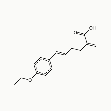 C=C(CCC=Cc1ccc(OCC)cc1)C(=O)O